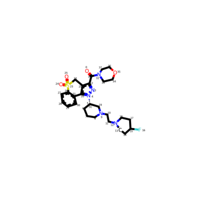 O=C(c1nn([C@H]2CCCN(CCN3CCC(F)CC3)C2)c2c1CS(=O)(=O)c1ccccc1-2)N1CCOCC1